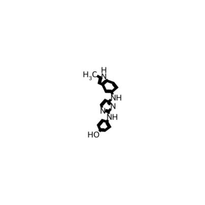 Cc1cc2cc(Nc3ccnc(Nc4ccc(O)cc4)n3)ccc2[nH]1